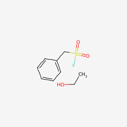 CCO.O=S(=O)(F)Cc1ccccc1